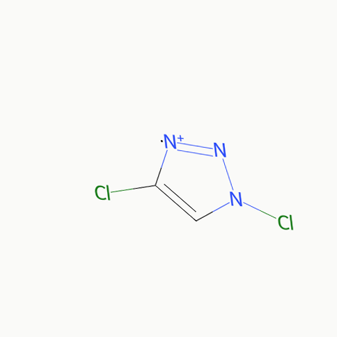 ClC1=CN(Cl)N=[N+]1